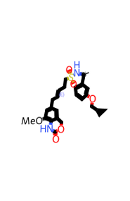 COc1cc(C/C=C/CCS(=O)(=O)N[C@H](C)c2cccc(OCC3CC3)c2)cc2c1NC(=O)OC2